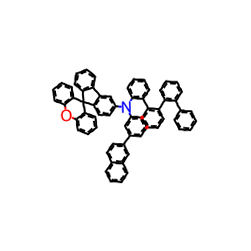 c1ccc(-c2ccccc2-c2ccccc2-c2ccccc2N(c2cccc(-c3ccc4ccccc4c3)c2)c2ccc3c(c2)-c2ccccc2C32c3ccccc3Oc3ccccc32)cc1